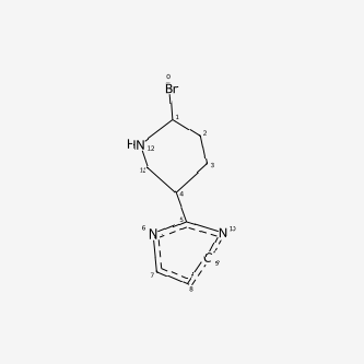 BrC1CCC(c2ncccn2)CN1